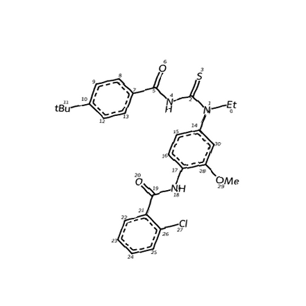 CCN(C(=S)NC(=O)c1ccc(C(C)(C)C)cc1)c1ccc(NC(=O)c2ccccc2Cl)c(OC)c1